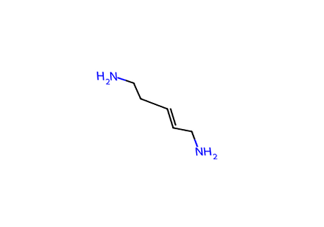 NCC=CCCN